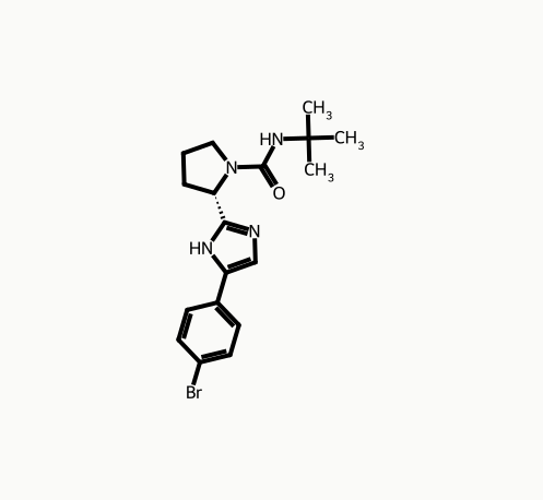 CC(C)(C)NC(=O)N1CCC[C@H]1c1ncc(-c2ccc(Br)cc2)[nH]1